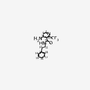 Nc1ccnc(C(F)(F)F)c1C(=O)NCCc1ccccc1